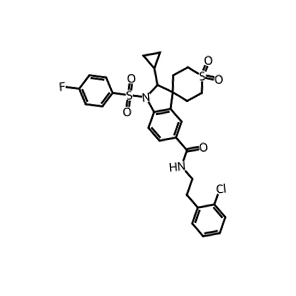 O=C(NCCc1ccccc1Cl)c1ccc2c(c1)C1(CCS(=O)(=O)CC1)C(C1CC1)N2S(=O)(=O)c1ccc(F)cc1